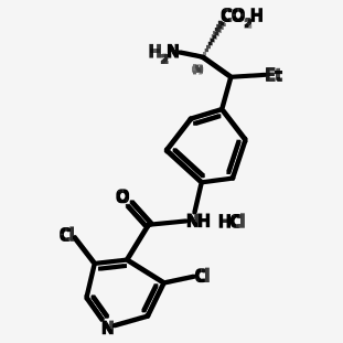 CCC(c1ccc(NC(=O)c2c(Cl)cncc2Cl)cc1)[C@H](N)C(=O)O.Cl